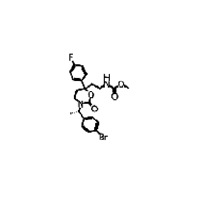 COC(=O)NCC[C@]1(c2ccc(F)cc2)CCN([C@@H](C)c2ccc(Br)cc2)C(=O)O1